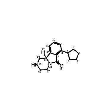 O=C1c2c(C3CCCC3)cccc2[C@H]2CNCCN12